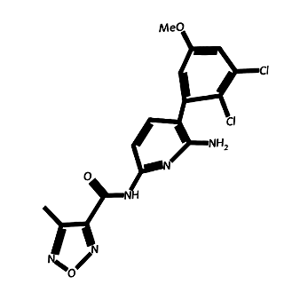 COc1cc(Cl)c(Cl)c(-c2ccc(NC(=O)c3nonc3C)nc2N)c1